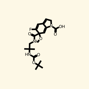 COC1(C(=O)NCC(C)(C)NC(=O)OC(C)(C)C)C=C2C(=CCN2C(=O)O)C=C1F